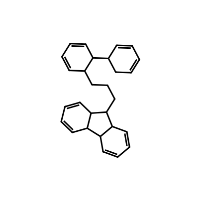 C1=CCC(C2C=CC=CC2CCCC2C3C=CC=CC3C3C=CC=CC32)C=C1